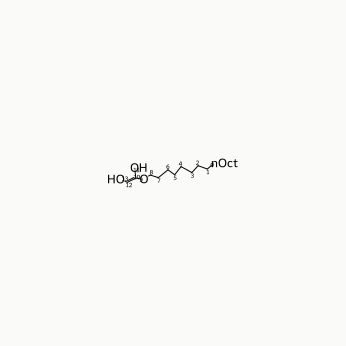 CCCCCCCCCCCCCCCCOC(O)=CO